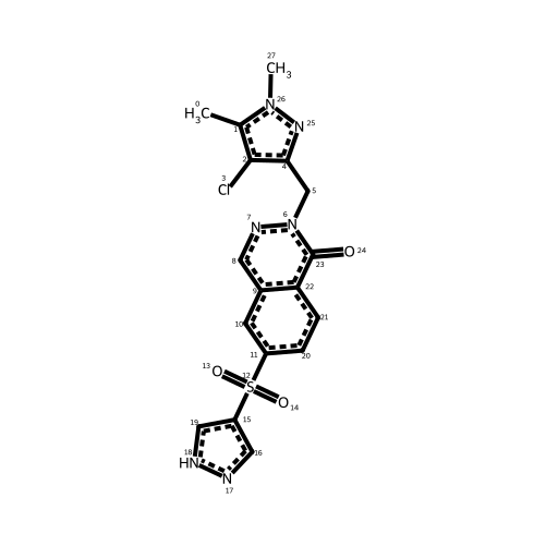 Cc1c(Cl)c(Cn2ncc3cc(S(=O)(=O)c4cn[nH]c4)ccc3c2=O)nn1C